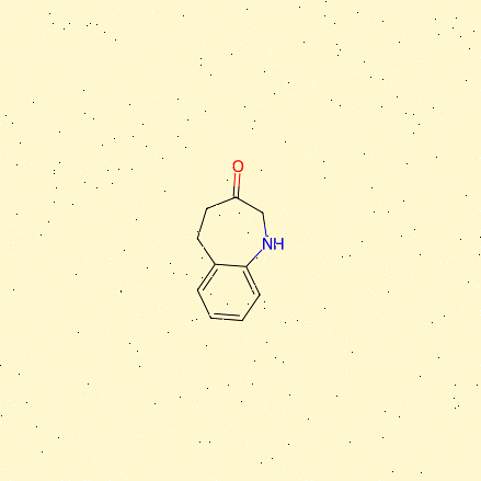 O=C1CCc2ccccc2NC1